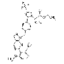 CCOC(=O)C(C)n1cc(C(F)(F)F)nc1-c1ccc(Cn2ncc3cnc(-c4c(OC)ncnc4C4CC4)nc32)cc1